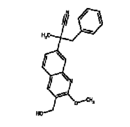 COc1nc2cc(C(C)(C#N)Cc3ccccc3)ccc2cc1CO